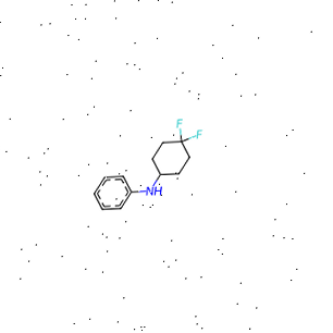 FC1(F)CCC(Nc2ccccc2)CC1